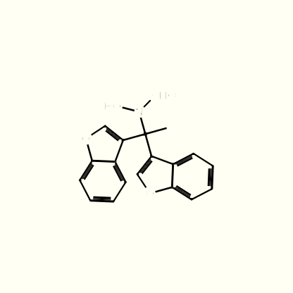 CC(c1coc2ccccc12)(c1coc2ccccc12)N(O)C=O